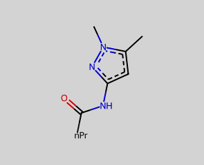 CCCC(=O)Nc1cc(C)n(C)n1